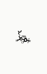 CCC(C)CSCc1c(C#N)nn(-c2c(Cl)cc(C(F)(F)F)cc2Cl)c1N